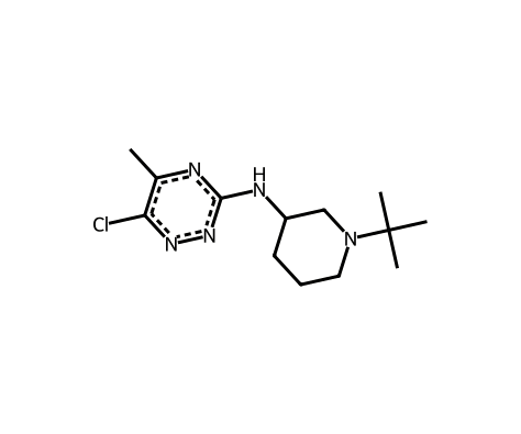 Cc1nc(NC2CCCN(C(C)(C)C)C2)nnc1Cl